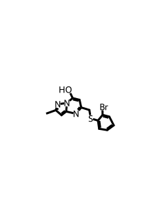 Cc1cc2nc(CSc3ccccc3Br)cc(O)n2n1